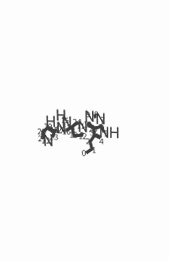 CCCc1c[nH]c2ncnc(N3CC[C@](N)(CNc4cccnc4)C3)c12